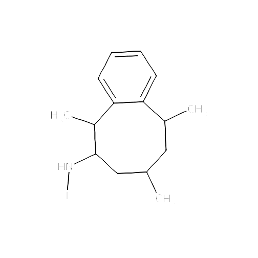 CC1CC(C)c2ccccc2C(C)C(NI)C1